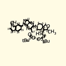 C[C@@H]1OCC2(CCN(c3nc4cnn(-c5ccc6ccn(C)c6c5)c4nc3COS(=O)C(C)(C)C)CC2)C1/[SiH]=N/[S+]([O-])C(C)(C)C